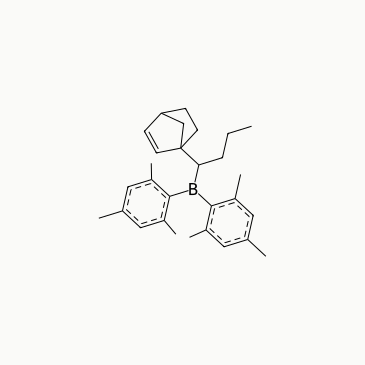 CCCC(B(c1c(C)cc(C)cc1C)c1c(C)cc(C)cc1C)C12C=CC(CC1)C2